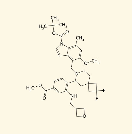 COC(=O)c1ccc(C2CC3(CCN2Cc2c(OC)cc(C)c4c2ccn4C(=O)OC(C)(C)C)CC(F)(F)C3)c(NCC2COC2)c1